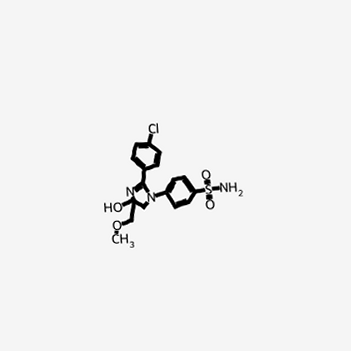 COCC1(O)CN(c2ccc(S(N)(=O)=O)cc2)C(c2ccc(Cl)cc2)=N1